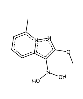 COc1nn2c(C)cccc2c1N(O)O